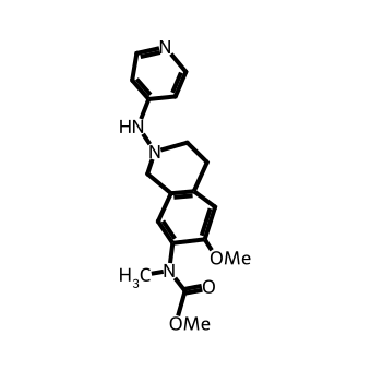 COC(=O)N(C)c1cc2c(cc1OC)CCN(Nc1ccncc1)C2